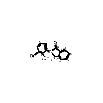 Cc1c(Br)cccc1N1Cc2ccccc2C1=O